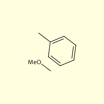 COC.Cc1ccccc1